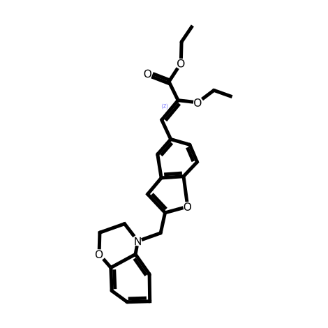 CCOC(=O)/C(=C/c1ccc2oc(CN3CCOc4ccccc43)cc2c1)OCC